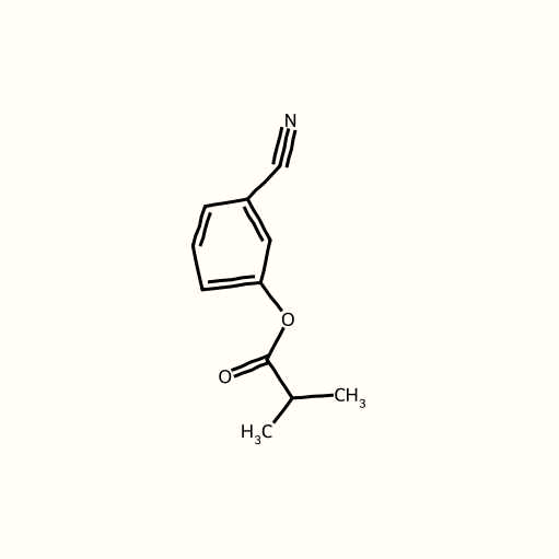 CC(C)C(=O)Oc1cccc(C#N)c1